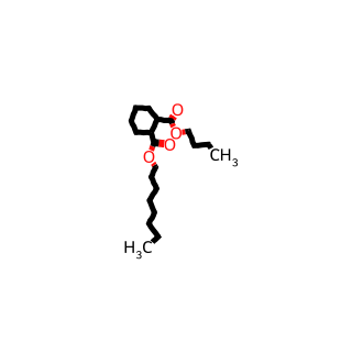 CCCCCCCCOC(=O)C1CCCCC1C(=O)OCCCC